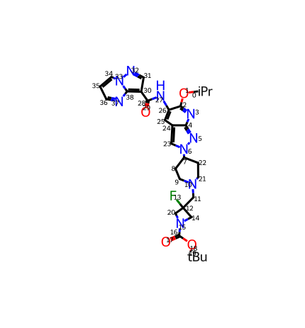 CC(C)Oc1nc2nn(C3CCN(CC4(F)CN(C(=O)OC(C)(C)C)C4)CC3)cc2cc1NC(=O)c1cnn2cccnc12